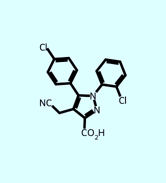 N#CCc1c(C(=O)O)nn(-c2ccccc2Cl)c1-c1ccc(Cl)cc1